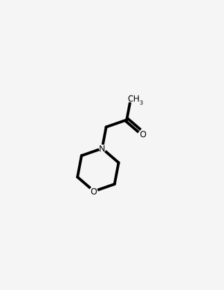 CC(=O)CN1CCOCC1